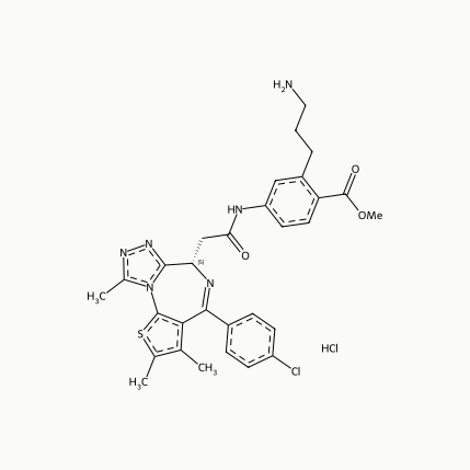 COC(=O)c1ccc(NC(=O)C[C@@H]2N=C(c3ccc(Cl)cc3)c3c(sc(C)c3C)-n3c(C)nnc32)cc1CCCN.Cl